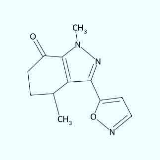 CC1CCC(=O)c2c1c(-c1ccno1)nn2C